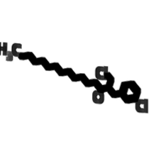 CCCCCCCCCCCCCC(=O)C(CCl)Cc1cccc(Cl)c1